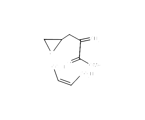 C=C(CC1CO1)C(=O)OC.O=C(O)/C=C\C(=O)O